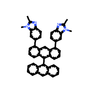 Cc1nc2ccc(-c3cccc4c(-c5c6ccccc6cc6ccccc56)c5cccc(-c6ccc7nc(C)n(C)c7c6)c5cc34)cc2n1C